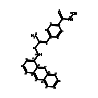 CC(=Cc1ccc(C(=O)NO)cc1)CNc1cccc2cc3ccccc3cc12